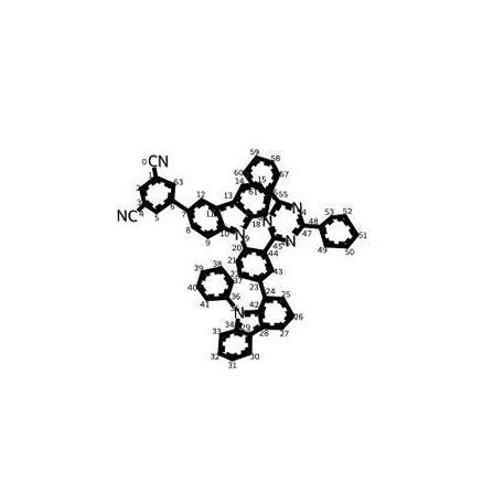 N#Cc1cc(C#N)cc(-c2ccc3c(c2)c2ccccc2n3-c2ccc(-c3cccc4c5ccccc5n(-c5ccccc5)c34)cc2-c2nc(-c3ccccc3)nc(-c3ccccc3)n2)c1